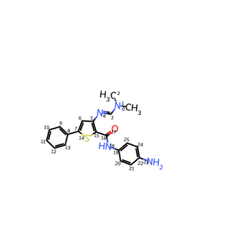 CN(C)/C=N/c1cc(-c2ccccc2)sc1C(=O)Nc1ccc(N)cc1